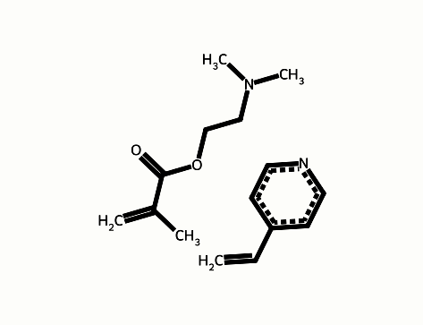 C=C(C)C(=O)OCCN(C)C.C=Cc1ccncc1